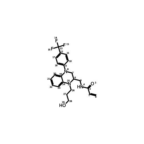 C=CC(=O)NCC1CN(c2ccc(C(F)(F)F)cc2)c2ccccc2N1CCCO